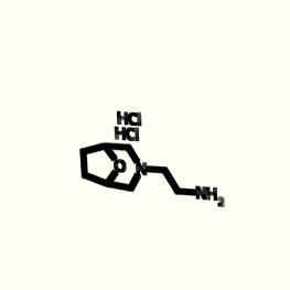 Cl.Cl.NCCN1CC2CCC(C1)O2